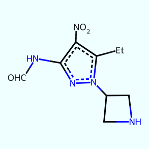 CCc1c([N+](=O)[O-])c(NC=O)nn1C1CNC1